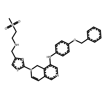 CS(=O)(=O)CCNCc1csc(N2C=Cc3cncc(Nc4ccc(OCc5ccccc5)cc4)c3C2)n1